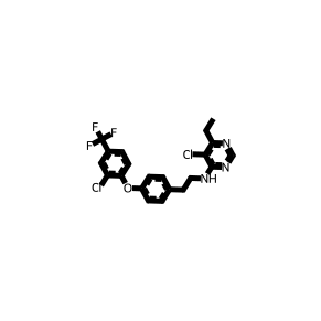 CCc1ncnc(NCCc2ccc(Oc3ccc(C(F)(F)F)cc3Cl)cc2)c1Cl